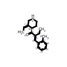 C/C=C1/CNCC[C@H]1C(=O)/C(=C/c1ccccc1C)CC